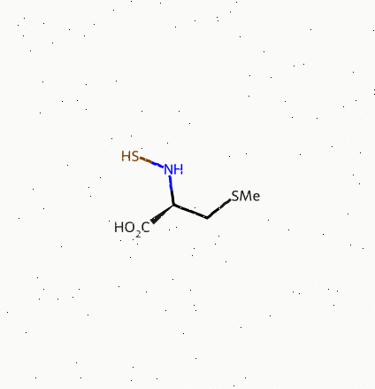 CSC[C@H](NS)C(=O)O